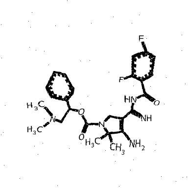 CN(C)CC(OC(=O)N1CC(C(=N)NC(=O)c2ccc(F)cc2F)=C(N)C1(C)C)c1ccccc1